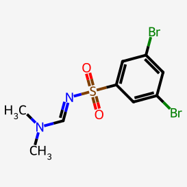 CN(C)C=NS(=O)(=O)c1cc(Br)cc(Br)c1